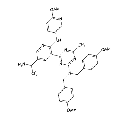 COc1ccc(CN(Cc2ccc(OC)cc2)c2nc(C)nc(-c3cc(C(N)C(F)(F)F)cnc3Nc3ccc(OC)nc3)n2)cc1